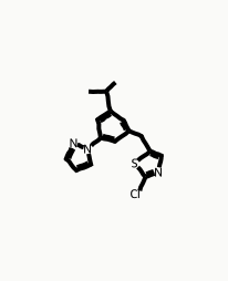 CC(C)c1cc(Cc2cnc(Cl)s2)cc(-n2cccn2)c1